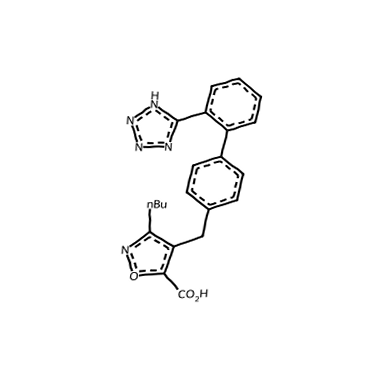 CCCCc1noc(C(=O)O)c1Cc1ccc(-c2ccccc2-c2nnn[nH]2)cc1